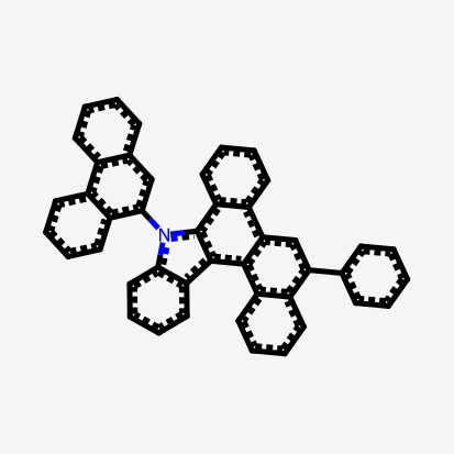 c1ccc(-c2cc3c4ccccc4c4c(c5ccccc5n4-c4cc5ccccc5c5ccccc45)c3c3ccccc23)cc1